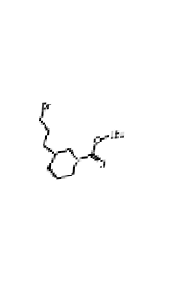 CC(C)(C)OC(=O)N1CCCC(CCCBr)C1